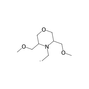 [CH2]CN1C(COC)COCC1COC